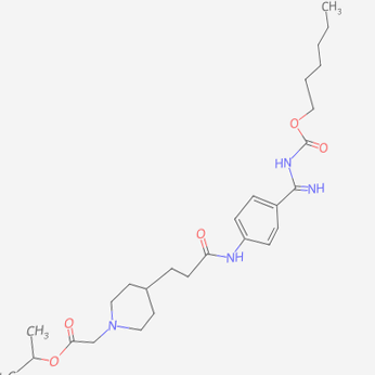 CCCCCCOC(=O)NC(=N)c1ccc(NC(=O)CCC2CCN(CC(=O)OC(C)C)CC2)cc1